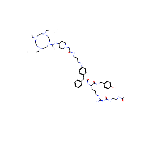 CCC(=O)NCCNC(=O)/N=C(/N)NCCC[C@@H](NC(=O)[C@@H](c1ccccc1)c1ccc(NCCCNC(=O)CN2CCC(NC(C=O)N3CCN(CC(=O)O)CCN(CC(=O)O)CCN(CC(=O)O)CC3)CC2)cc1)C(=O)NCc1ccc(O)cc1